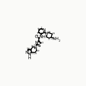 NC1CCN(c2ncccc2NC(=O)c2csc(N3CCc4[nH]ncc4C3)n2)CC1